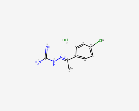 CCC/C(=N\NC(=N)N)c1ccc(Cl)cc1.Cl